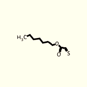 CCCCCCCOC(=O)C=S